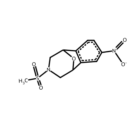 CS(=O)(=O)N1CC2OC(C1)c1cc([N+](=O)[O-])ccc12